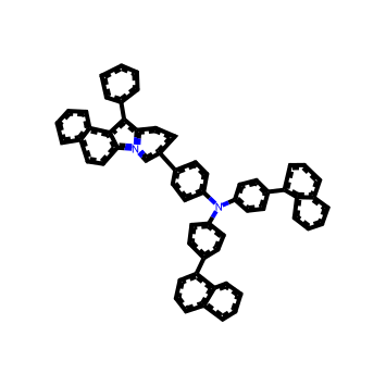 c1ccc(-c2c3c4ccccc4ccc3n3cc(-c4ccc(N(c5ccc(-c6cccc7ccccc67)cc5)c5ccc(-c6cccc7ccccc67)cc5)cc4)ccc23)cc1